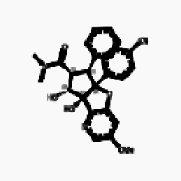 COc1cnc2c(c1)O[C@@]1(c3ccc(C#N)cc3)[C@H](c3ccccc3)[C@H](C(=O)N(C)C)[C@@H](O)[C@@]21O